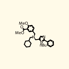 CCCCn1c(CN(Cc2ccc(OC)c(C(=O)OC)c2)CC2CCCCC2)cnc1-c1ccccc1